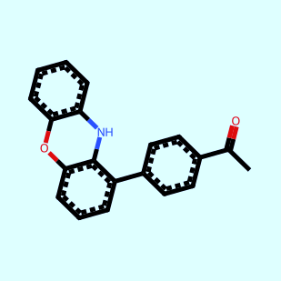 CC(=O)c1ccc(-c2cccc3c2Nc2ccccc2O3)cc1